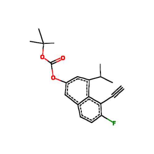 C#Cc1c(F)ccc2cc(OC(=O)OC(C)(C)C)cc(C(C)C)c12